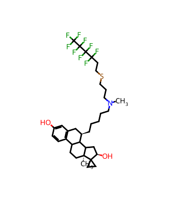 CN(CCCCC[C@@H]1Cc2cc(O)ccc2C2CC[C@@]3(C)C(C[C@@H](O)C34CC4)C21)CCCSCCC(F)(F)C(F)(F)C(F)(F)C(F)(F)F